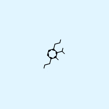 CCCc1ccc(CCC)c(C(F)F)c1F